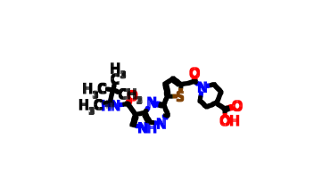 C[C@H](NC(=O)c1c[nH]c2ncc(-c3ccc(C(=O)N4CCC(C(=O)O)CC4)s3)nc12)C(C)(C)C